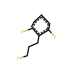 FCCCc1c(F)c[c]cc1F